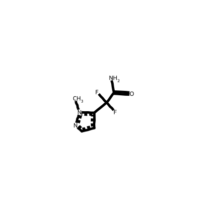 Cn1nccc1C(F)(F)C(N)=O